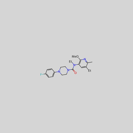 CCc1cc(N(CC)C(=O)N2CCN(c3ccc(F)cc3)CC2)c(OC)nc1C